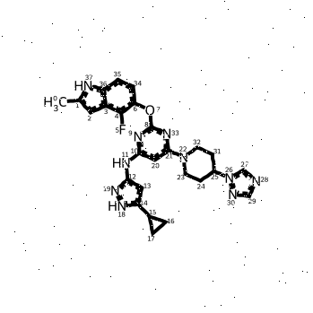 Cc1cc2c(F)c(Oc3nc(Nc4cc(C5CC5)[nH]n4)cc(N4CCC(n5cncn5)CC4)n3)ccc2[nH]1